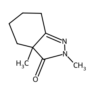 CN1N=C2CCCCC2(C)C1=O